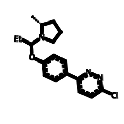 CCC(Oc1ccc(-c2ccc(Cl)nn2)cc1)N1CCC[C@H]1C